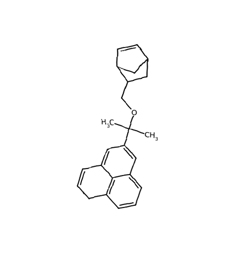 CC(C)(OCC1CC2C=CC1C2)c1cc2c3c(cccc3c1)CC=C2